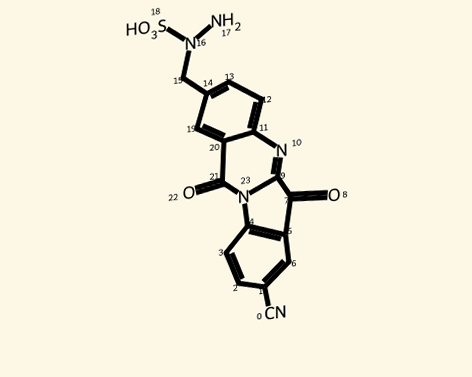 N#Cc1ccc2c(c1)C(=O)c1nc3ccc(CN(N)S(=O)(=O)O)cc3c(=O)n1-2